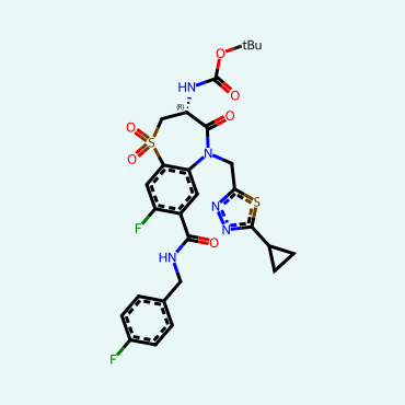 CC(C)(C)OC(=O)N[C@H]1CS(=O)(=O)c2cc(F)c(C(=O)NCc3ccc(F)cc3)cc2N(Cc2nnc(C3CC3)s2)C1=O